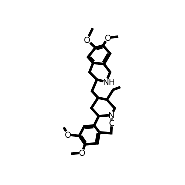 CCC1CN2CCc3cc(OC)c(OC)cc3C2CC1CC1Cc2cc(OC)c(OC)cc2CN1